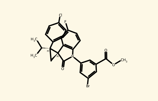 COC(=O)c1cc(Br)cc(N2C(=O)[C@@]3(C[C@]3(c3ccc(Cl)cc3)C(C)C)c3cc(F)ccc32)c1